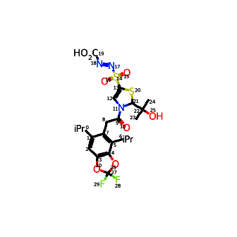 CC(C)c1cc2c(c(C(C)C)c1CC(=O)N1C=C(S(=O)(=O)N=NC(=O)O)SC1C(C)(C)O)OC(F)(F)O2